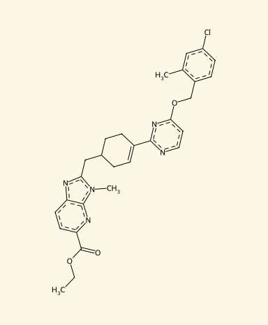 CCOC(=O)c1ccc2nc(CC3CC=C(c4nccc(OCc5ccc(Cl)cc5C)n4)CC3)n(C)c2n1